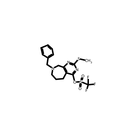 CSc1nc2c(c(OS(=O)(=O)C(F)(F)F)n1)CCCN(Cc1ccccc1)C2